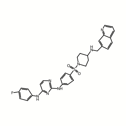 O=S(=O)(c1ccc(Nc2nccc(Nc3ccc(F)cc3)n2)cc1)N1CCC(NCc2ccc3cccnc3c2)CC1